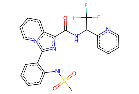 CS(=O)(=O)Nc1ccccc1-c1nc(C(=O)NC(c2ccccn2)C(F)(F)F)c2ccccn12